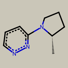 C[C@H]1CCCN1c1cccnn1